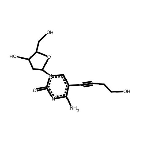 Nc1nc(=O)n(C2CC(O)C(CO)O2)cc1C#CCCO